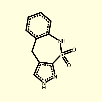 O=S1(=O)Nc2ccccc2Cc2c[nH]nc21